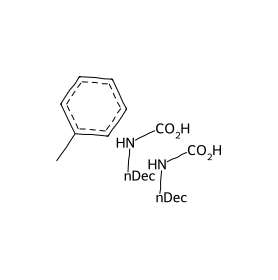 CCCCCCCCCCNC(=O)O.CCCCCCCCCCNC(=O)O.Cc1ccccc1